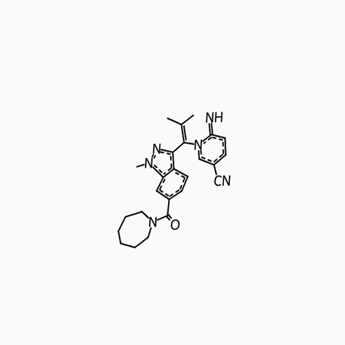 CC(C)=C(c1nn(C)c2cc(C(=O)N3CCCCCC3)ccc12)n1cc(C#N)ccc1=N